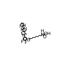 CC1c2cnc(-c3ncccn3)nc2CCN1c1cc(F)c(F)c(OCCCCCCCCNC(=O)O)c1